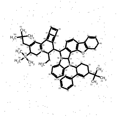 CCC1C(C2c3ccc4c5c(oc4c3C3N(C4CCC(C(C)(C)C)C=C4c4ccccc4)c4ccccc4N23)CCC=C5)c2c3ccc-3c2C2=[N+]1CC([Si](C)(C)C)C(CC(C)(C)C)=C2